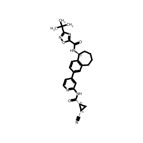 CC(C)(C)c1noc(C(=O)N[C@H]2CCCCc3cc(-c4ccnc(NC(=O)[C@@H]5C[C@@H]5C#N)c4)ccc32)n1